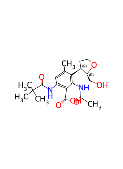 CC(=O)Nc1c(C(=O)O)c(NC(=O)C(C)(C)C)cc(C)c1[C@H]1CCO[C@H]1CO